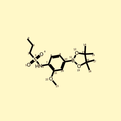 CCCS(=O)(=O)Nc1ccc(B2OC(C)(C)C(C)(C)O2)cc1OC